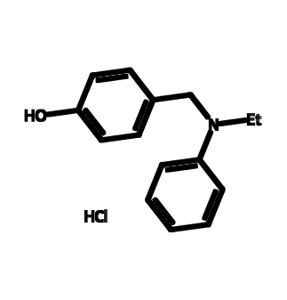 CCN(Cc1ccc(O)cc1)c1ccccc1.Cl